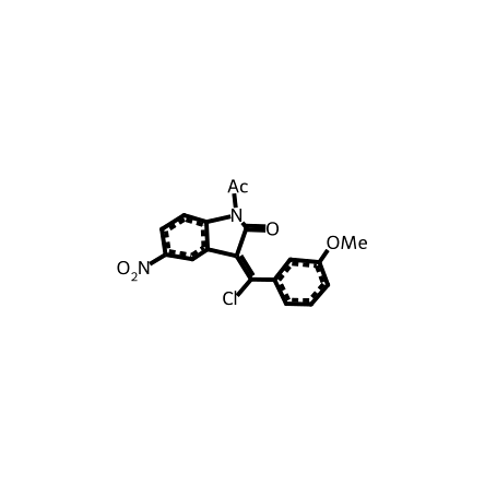 COc1cccc(C(Cl)=C2C(=O)N(C(C)=O)c3ccc([N+](=O)[O-])cc32)c1